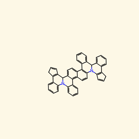 C1=CC2=C(C1)c1ccccc1C1c3ccccc3-c3c(ccc4c5c(ccc34)C3C4=C(CC=C4)c4ccccc4N3c3ccccc3-5)N21